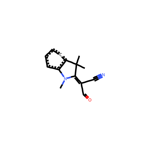 CN1/C(=C(/C#N)C=O)C(C)(C)c2ccccc21